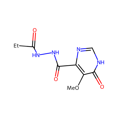 CCC(=O)NNC(=O)c1nc[nH]c(=O)c1OC